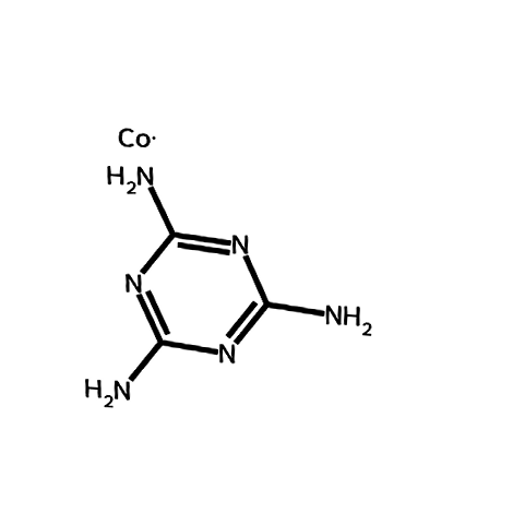 Nc1nc(N)nc(N)n1.[Co]